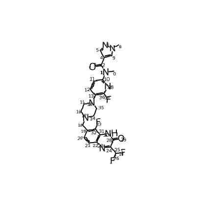 CN(C(=O)c1cnn(C)c1)c1ccc(N2CCN(Cc3ccc4nc(C(F)F)c(=O)[nH]c4c3F)CC2)c(F)n1